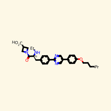 CCN[C@@H](Cc1ccc(-c2ncc(-c3ccc(OCCCC(C)C)cc3)cn2)cc1)C(=O)N1CC(C(=O)O)C1